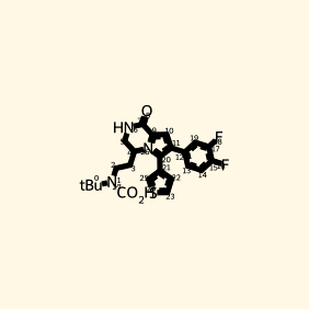 CC(C)(C)N(CCC1CNC(=O)c2cc(-c3ccc(F)c(F)c3)c(-c3ccsc3)n21)C(=O)O